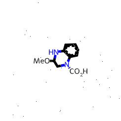 COC1CN(C(=O)O)c2ccccc2N1